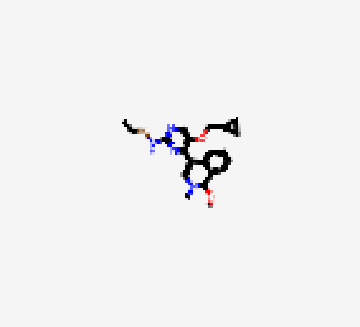 CCSNc1ncc(OCC2CC2)c(C2=CN(C)C(OC)c3ccccc32)n1